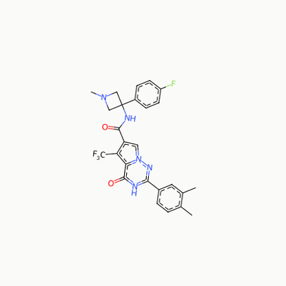 Cc1ccc(-c2nn3cc(C(=O)NC4(c5ccc(F)cc5)CN(C)C4)c(C(F)(F)F)c3c(=O)[nH]2)cc1C